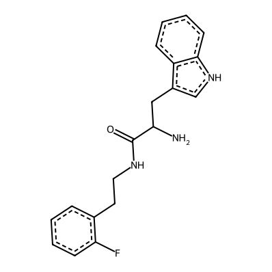 NC(Cc1c[nH]c2ccccc12)C(=O)NCCc1ccccc1F